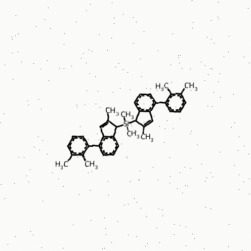 CC1=Cc2c(-c3cccc(C)c3C)cccc2C1[Si](C)(C)C1C(C)=Cc2c(-c3cccc(C)c3C)cccc21